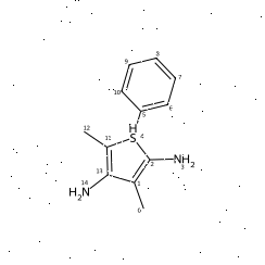 CC1=C(N)[SH](c2ccccc2)C(C)=C1N